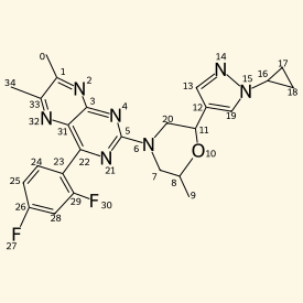 Cc1nc2nc(N3CC(C)OC(c4cnn(C5CC5)c4)C3)nc(-c3ccc(F)cc3F)c2nc1C